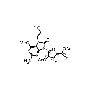 CC[C@H](OC(C)=O)[C@H]1O[C@@H](n2c(=O)n(CCC(F)(F)F)c3c(OC)nc(N)nc32)[C@H](OC(C)=O)[C@H]1F